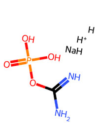 N=C(N)OP(=O)(O)O.[H+].[H+].[NaH]